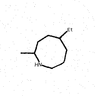 CCC1CCCNC(C)CC1